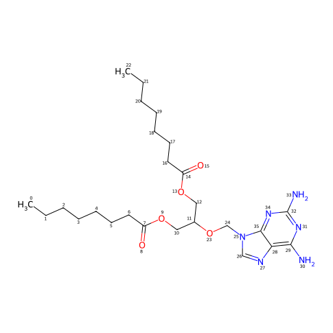 CCCCCCCC(=O)OCC(COC(=O)CCCCCCC)OCn1cnc2c(N)nc(N)nc21